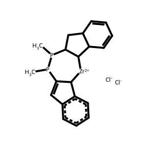 CP1C2=Cc3ccccc3[CH]2[Zr+2][CH]2C3C=CC=CC3CC2P1C.[Cl-].[Cl-]